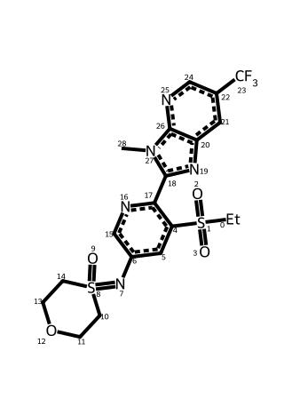 CCS(=O)(=O)c1cc(N=S2(=O)CCOCC2)cnc1-c1nc2cc(C(F)(F)F)cnc2n1C